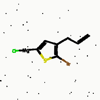 C=CCc1c[c]([Mg][Cl])sc1Br